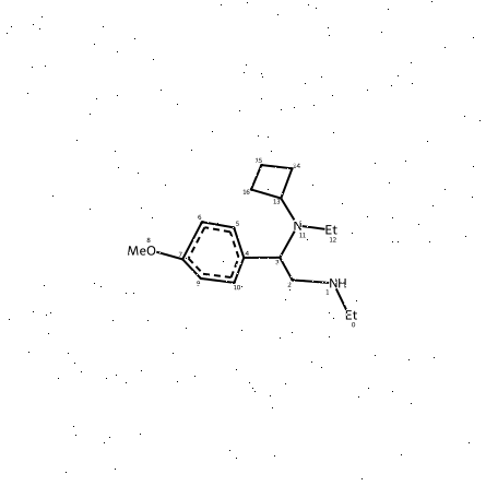 CCNCC(c1ccc(OC)cc1)N(CC)C1CCC1